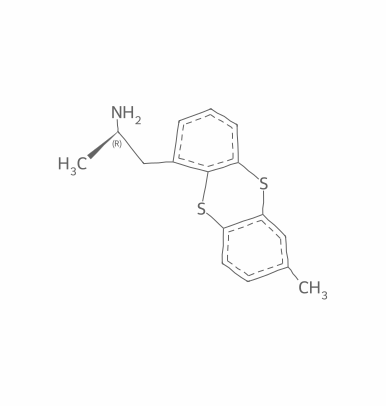 Cc1ccc2c(c1)Sc1cccc(C[C@@H](C)N)c1S2